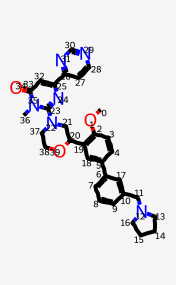 COc1ccc(-c2cccc(CN3CCCC3)c2)cc1C1CN(c2nc(-c3ccncn3)cc(=O)n2C)CCO1